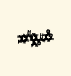 Cc1cc(Nc2cc(C(C)C)c(C(=O)NCC3CCOC(=O)C3)cn2)ccc1F